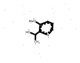 COc1cccnc1C(C)O